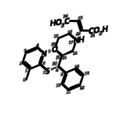 Cc1cccnc1S[C@@H](c1ccccc1)[C@@H]1CNCCO1.O=C(O)C=CC(=O)O